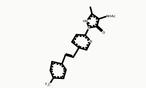 CC(=O)Nc1c(C)[nH]n(-c2ccc(/C=C/c3ccc(C(F)(F)F)cc3)cn2)c1=O